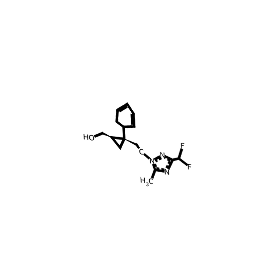 Cc1nc(C(F)F)nn1CC[C@@]1(C2C=CC=CC2)C[C@H]1CO